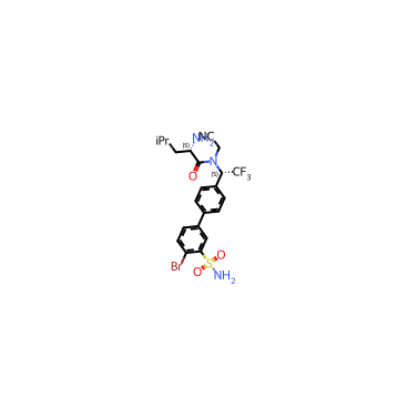 CC(C)C[C@H](N)C(=O)N(CC#N)[C@@H](c1ccc(-c2ccc(Br)c(S(N)(=O)=O)c2)cc1)C(F)(F)F